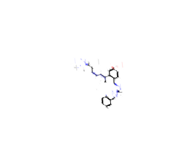 C=C/C(=C\C=C/CC(C)(N)C=O)c1cc(O)ccc1CN[C@@H](C)NCc1ccccc1